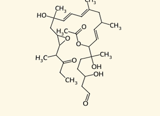 CCC(=O)C(C)C1OC1CC(C)(O)/C=C/C=C(\C)CC(C)/C=C/C(OC(C)=O)C(C)(O)CCC(O)CC=O